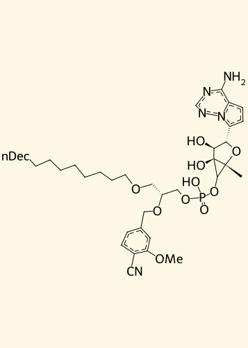 CCCCCCCCCCCCCCCCCCOC[C@H](COP(=O)(O)OC1[C@@]2(C)O[C@@H](c3ccc4c(N)ncnn34)[C@H](O)[C@@]12O)OCc1ccc(C#N)c(OC)c1